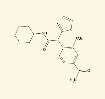 CSc1cc(C(N)=O)ccc1C(C(=O)NC1CCCCC1)c1cccs1